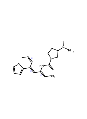 C=C(NC(=C\N)/C=C(\C=C/C)c1cccs1)N1CCC(N(C)N)C1